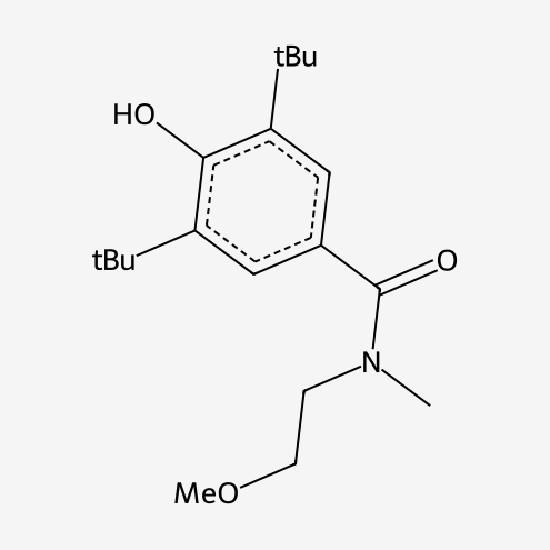 COCCN(C)C(=O)c1cc(C(C)(C)C)c(O)c(C(C)(C)C)c1